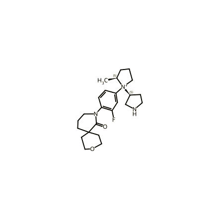 C[C@H]1CCC[N+]1(c1ccc(N2CCCC3(CCOCC3)C2=O)c(F)c1)[C@H]1CCNC1